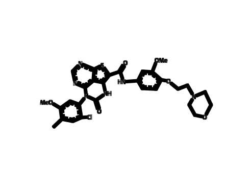 COc1cc(N2C(=O)Nc3c(C(=O)Nc4ccc(OCCN5CCOCC5)c(OC)c4)sc4ncnc2c34)c(Cl)cc1C